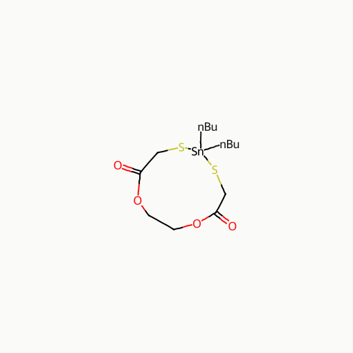 CCC[CH2][Sn]1([CH2]CCC)[S]CC(=O)OCCOC(=O)C[S]1